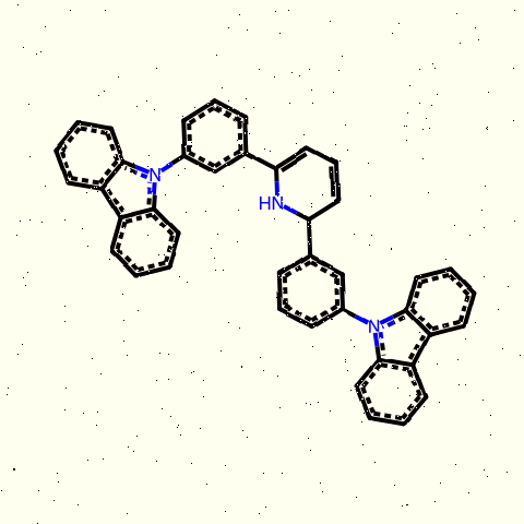 C1=CC(c2cccc(-n3c4ccccc4c4ccccc43)c2)NC(c2cccc(-n3c4ccccc4c4ccccc43)c2)=C1